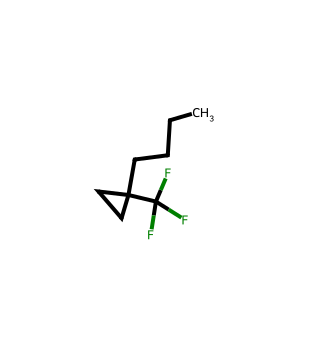 CCCCC1(C(F)(F)F)CC1